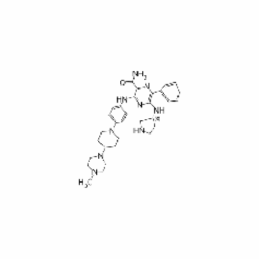 CN1CCN(C2CCN(c3ccc(Nc4nc(N[C@@H]5CCNC5)c(-c5ccccc5)nc4C(N)=O)cc3)CC2)CC1